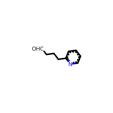 O=CCC[CH]c1ccccn1